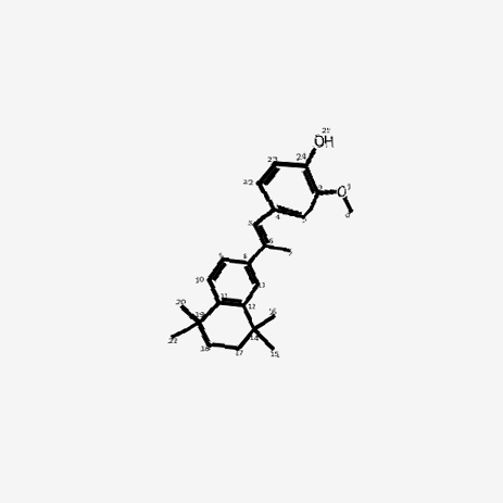 COc1cc(C=C(C)c2ccc3c(c2)C(C)(C)CCC3(C)C)ccc1O